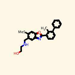 CSc1cc2oc(-c3cccc(-c4ccccc4)c3C)nc2cc1CNCCO